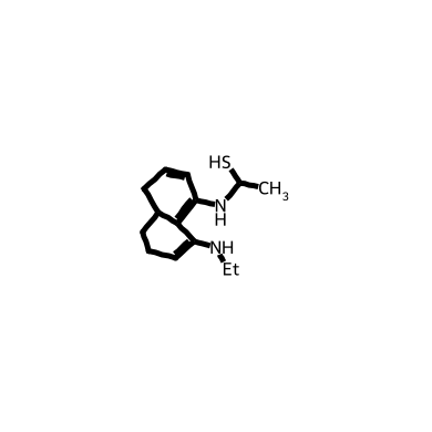 CCNC1=CCCC2CC=CC(NC(C)S)=C12